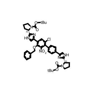 CC(C)(C)OC(=O)N1CCC[C@H]1c1nc(-c2ccc(-c3c(Cl)cc(-c4c[nH]c([C@@H]5CCCN5C(=O)OC(C)(C)C)n4)c(OCc4ccccc4)c3[N+](=O)[O-])cc2)c[nH]1